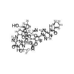 CC(C)C(=O)Nc1nc2c(ncn2[C@@H]2C[C@H](CO)[C@@H](O[Si](C)(C)C(C)(C)C)[C@H]2OP(=O)(OCCC#N)OC[C@H]2O[C@@H](n3cnc4c(NC(=O)c5ccccc5)ncnc43)[C@H](F)[C@@H]2O[PH](=O)O)c(=O)[nH]1